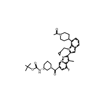 CC(=O)N1CCC(c2cccc3cc(-c4nn5cc(C(=O)N6CCC[C@@H](NC(=O)OC(C)(C)C)C6)cc(F)c5c4C)n(CC4CC4)c23)CC1